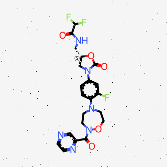 O=C(NC[C@H]1CN(c2ccc(N3CCON(C(=O)c4cnccn4)CC3)c(F)c2)C(=O)O1)C(F)F